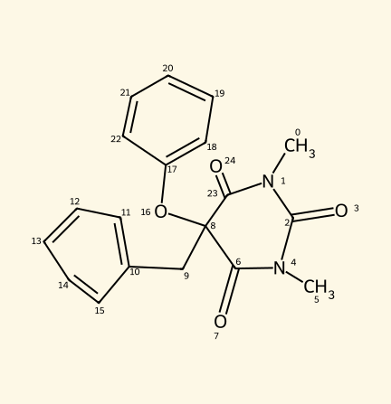 CN1C(=O)N(C)C(=O)C(Cc2ccccc2)(Oc2ccccc2)C1=O